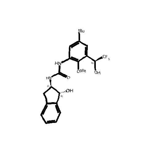 COc1c(NC(=O)N[C@@H]2Cc3ccccc3[C@H]2O)cc(C(C)(C)C)cc1[C@H](O)C(F)(F)F